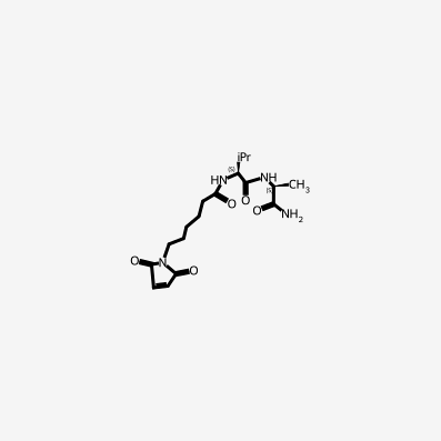 CC(C)[C@H](NC(=O)CCCCCN1C(=O)C=CC1=O)C(=O)N[C@@H](C)C(N)=O